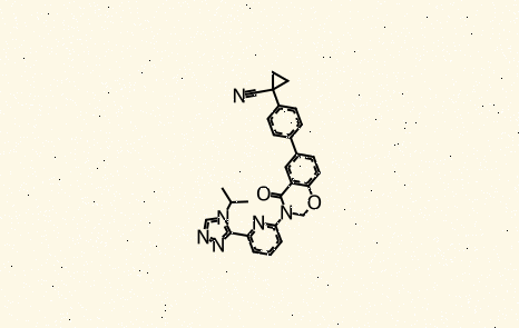 CC(C)n1cnnc1-c1cccc(N2COc3ccc(-c4ccc(C5(C#N)CC5)cc4)cc3C2=O)n1